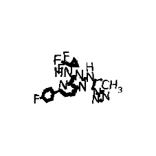 CC[C@@H](Cn1cncn1)Nc1nc(NC2(C(F)(F)F)CC2)c2nc(-c3ccc(F)cc3)ccc2n1